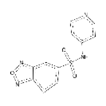 O=S(=O)(Nc1ccncc1)c1ccc2nonc2c1